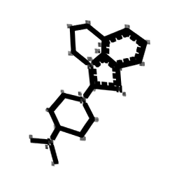 CN(C)C1CCN(c2nc3cccc4c3n2CCC4)CC1